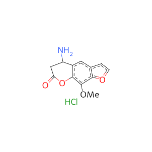 COc1c2c(cc3ccoc13)C(N)CC(=O)O2.Cl